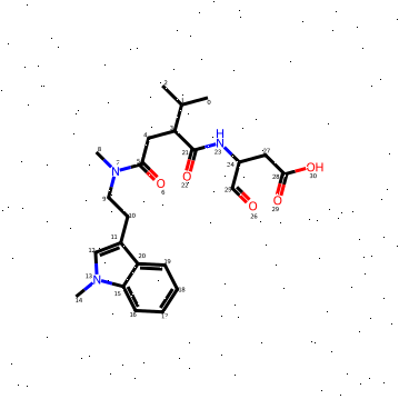 CC(C)C(CC(=O)N(C)CCc1cn(C)c2ccccc12)C(=O)NC(C=O)CC(=O)O